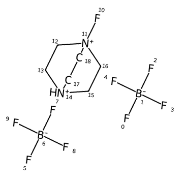 F[B-](F)(F)F.F[B-](F)(F)F.F[N+]12CC[NH+](CC1)CC2